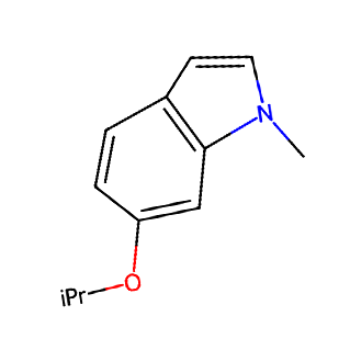 CC(C)Oc1ccc2ccn(C)c2c1